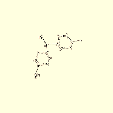 Cc1ccc(C(c2ccc(O)cc2)C(C)C)cc1